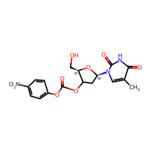 Cc1cn([C@H]2CC(OC(=O)Oc3ccc([N+](=O)[O-])cc3)[C@@H](CO)O2)c(=O)[nH]c1=O